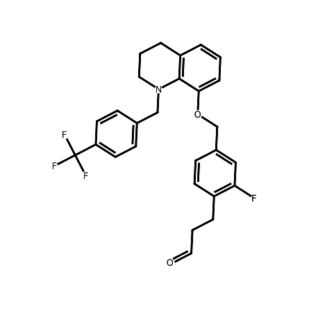 O=CCCc1ccc(COc2cccc3c2N(Cc2ccc(C(F)(F)F)cc2)CCC3)cc1F